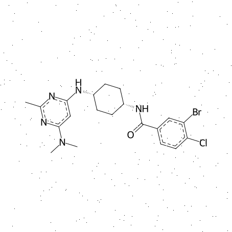 Cc1nc(N[C@H]2CC[C@@H](NC(=O)c3ccc(Cl)c(Br)c3)CC2)cc(N(C)C)n1